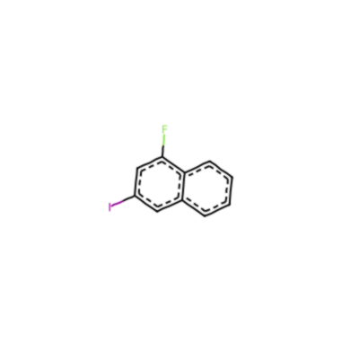 Fc1cc(I)cc2ccccc12